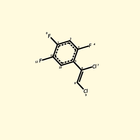 Fc1cc(F)c(C(Cl)=CCl)cc1F